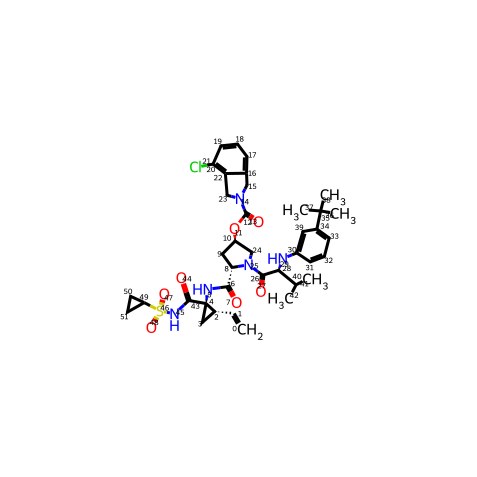 C=C[C@@H]1C[C@]1(NC(=O)[C@@H]1C[C@@H](OC(=O)N2Cc3cccc(Cl)c3C2)CN1C(=O)[C@@H](Nc1cccc(C(C)(C)C)c1)C(C)C)C(=O)NS(=O)(=O)C1CC1